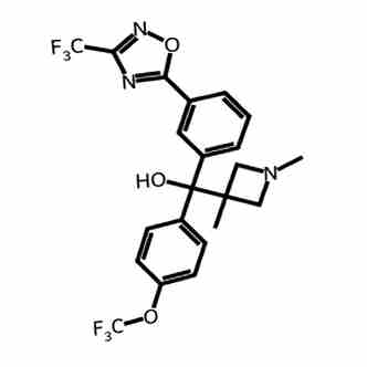 CN1CC(C)(C(O)(c2ccc(OC(F)(F)F)cc2)c2cccc(-c3nc(C(F)(F)F)no3)c2)C1